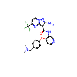 CN(C)Cc1ccc(Oc2ccncc2NC(=O)c2c(N)nn3ccc(C(F)(F)F)nc23)cc1